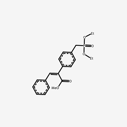 CCOP(=O)(Cc1ccc(C(=Cc2ccccc2)C(=O)OC)cc1)OCC